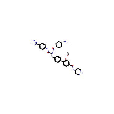 CCOc1cc(C(=O)NC2CCNCC2)ccc1-c1ccc(C[C@H](NC(=O)[C@H]2CC[C@H](CN)CC2)C(=O)Nc2ccc(-c3nn[nH]n3)cc2)cc1.Cl